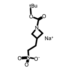 CC(C)(C)OC(=O)N1CC(CCS(=O)(=O)[O-])C1.[Na+]